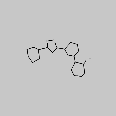 SC1CCCCC1C1CCCC(C2CC(C3CCCCC3)NN2)C1